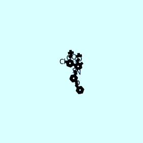 Cc1cc2nc(-c3cccc(OCc4ccccc4)c3)sc2c(-c2ccc(Cl)cc2)c1[C@H](COC(=O)C(C)(C)C)OC(C)(C)C